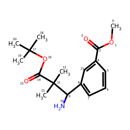 COC(=O)c1cccc(C(N)C(C)(C)C(=O)OC(C)(C)C)c1